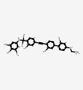 CCOc1ccc(-c2ccc(C#Cc3ccc(C(F)(F)Oc4cc(F)c(F)c(F)c4)c(F)c3)c(F)c2)c(F)c1